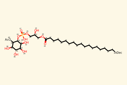 CCCCCCCCCCCCCCCCCCCCCCCCCCCC(=O)OC[C@H](O)COP(=O)(O)O[C@H]1C(O)C(O)[C@H](O)C(O)C1OC(C)=O